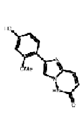 COc1cc(O)ccc1-c1cn2[nH]c(=O)ccc2n1